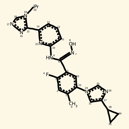 Cc1cc(F)c(C(=NO)Nc2cccc(-c3nncn3C(C)C)n2)cc1-n1cnc(C2CC2)c1